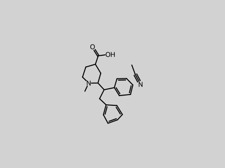 CC#N.CN1CCC(C(=O)O)CC1C(Cc1ccccc1)c1ccccc1